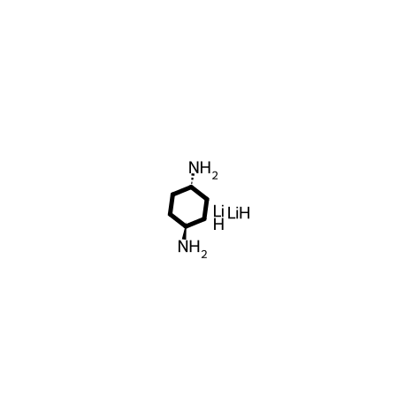 N[C@H]1CC[C@H](N)CC1.[LiH].[LiH]